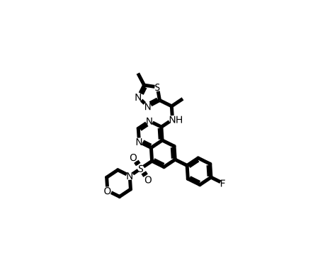 Cc1nnc(C(C)Nc2ncnc3c(S(=O)(=O)N4CCOCC4)cc(-c4ccc(F)cc4)cc23)s1